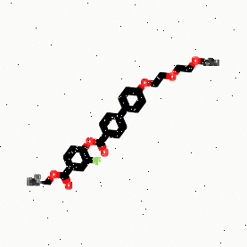 CCCCOCCOCCOc1ccc(-c2ccc(C(=O)Oc3ccc(C(=O)OC[C@@H](C)CC)cc3F)cc2)cc1